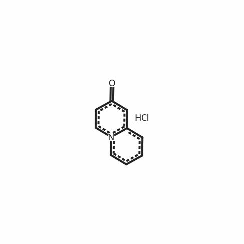 Cl.O=c1ccn2ccccc2c1